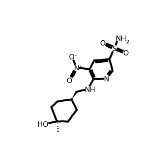 C[C@]1(O)CC[C@@H](CNc2ncc(S(N)(=O)=O)cc2[N+](=O)[O-])CC1